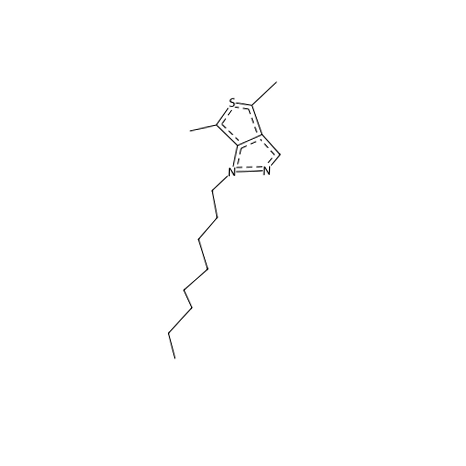 CCCCCCCCn1ncc2c(C)sc(C)c21